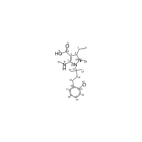 CCC1C(C(=O)O)=C(NC)N(C(C)(C)CCc2ccccc2Cl)N1C